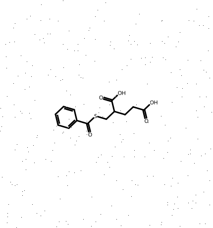 O=C(O)CCC(CSC(=O)c1ccccc1)C(=O)O